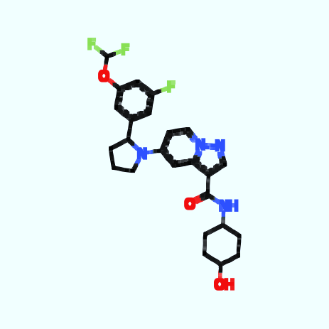 O=C(NC1CCC(O)CC1)c1cnn2ccc(N3CCCC3c3cc(F)cc(OC(F)F)c3)cc12